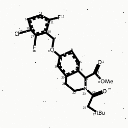 COC(=O)C1c2ccc(OCc3c(F)ccc(Cl)c3F)cc2CCN1C(=O)CC(C)(C)C